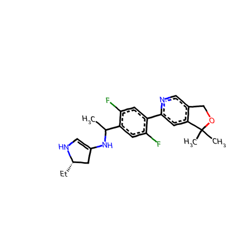 CC[C@H]1CC(NC(C)c2cc(F)c(-c3cc4c(cn3)COC4(C)C)cc2F)=CN1